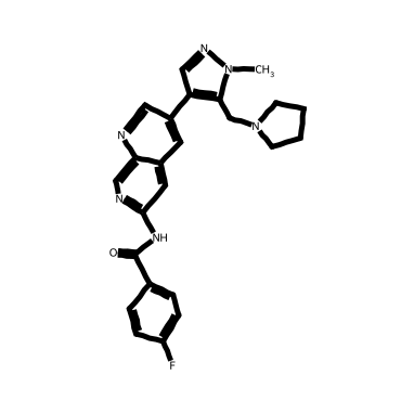 Cn1ncc(-c2cnc3cnc(NC(=O)c4ccc(F)cc4)cc3c2)c1CN1CCCC1